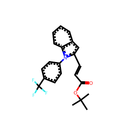 CC(C)(C)OC(=O)C=Cc1cc2ccccc2n1-c1ccc(C(F)(F)F)cc1